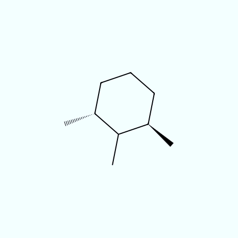 CC1[C@H](C)CCC[C@H]1C